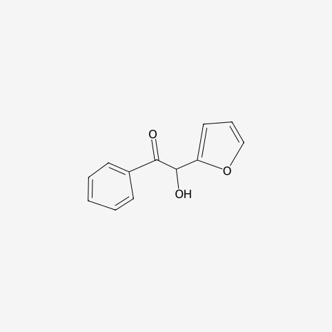 O=C(c1ccccc1)C(O)c1ccco1